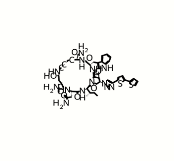 CC[C@H](C)[C@@H]1NC(=O)[C@H](CC(N)=O)NC(=O)[C@@H](N)C[C@@H](O)NCCCC[C@@H](C(N)=O)NC(=O)[C@H](Cc2c[nH]c3ccccc23)NC(=O)[C@@H]2C[C@H](n3cc(-c4ccc(-c5cccs5)s4)nn3)CN2C1=O